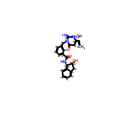 C=C[C@@]1(C(C)C)CC(=O)N(Cc2cccc(C(=O)N[C@@H]3c4ccccc4C[C@@H]3O)c2)C(=N)N1